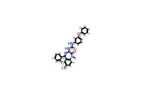 CN1C(=O)C(NC(=S)Nc2cccc(Oc3ccccc3)c2)N=C(c2ccccc2Cl)c2cc(Cl)ccc21